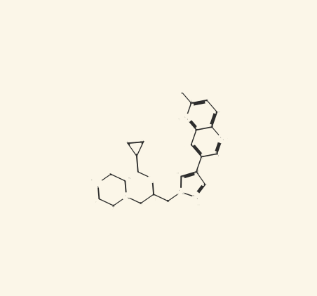 Clc1ccc2ncc(-c3cnn(CC(CN4CCOCC4)OCC4CC4)c3)cc2n1